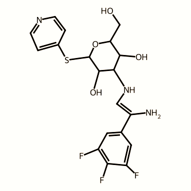 N/C(=C\NC1C(O)C(CO)OC(Sc2ccncc2)C1O)c1cc(F)c(F)c(F)c1